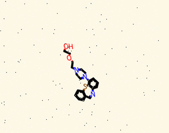 OCCOCCN1CCN(c2cccc3c2Sc2ccccc2C=N3)CC1